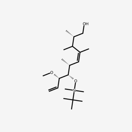 C=C[C@H](OC)[C@@H](O[Si](C)(C)C(C)(C)C)[C@H](C)/C=C(/C)C(C)[C@H](C)CO